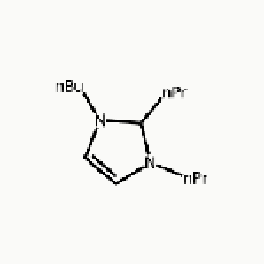 CCCCN1C=CN(CCC)C1CCC